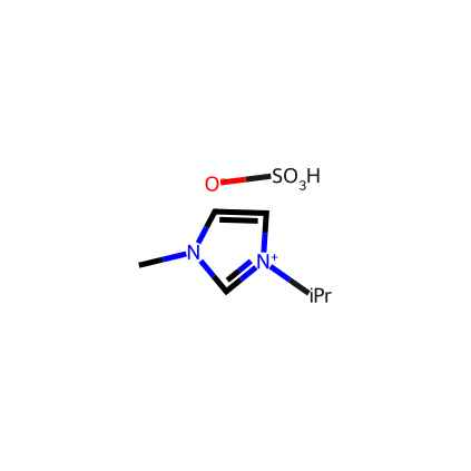 CC(C)[n+]1ccn(C)c1.O=S(=O)([O-])O